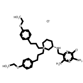 Nc1nc(N)c(CN[C@H]2CCC[N+](CCCc3ccc(OCC(=O)O)cc3)(CCCc3ccc(OCC(=O)O)cc3)C2)nc1Cl.[Cl-]